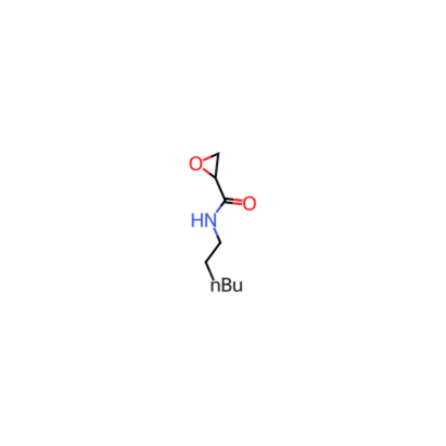 CCCCCCNC(=O)C1CO1